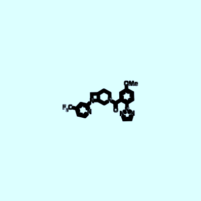 COc1ccc(-n2nccn2)c(C(=O)N2CCC3CN(c4cc(C(F)(F)F)ccn4)C3C2)c1